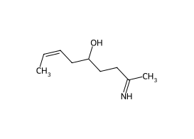 C/C=C\CC(O)CCC(C)=N